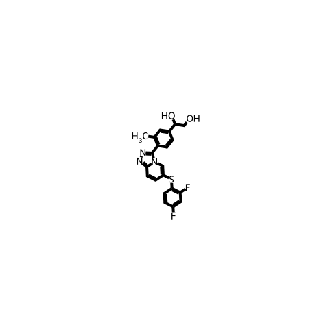 Cc1cc(C(O)CO)ccc1-c1nnc2ccc(Sc3ccc(F)cc3F)cn12